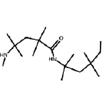 CCC(C)(C)CC(C)(C)NC(=O)C(C)(C)CC(C)(C)NC